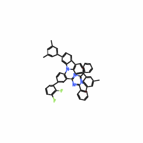 Cc1cc(C)cc(-c2ccc3c4ccc(-c5cc(C)cc(C)c5)cc4n(-c4ccc(-c5cccc(F)c5F)cc4-c4nc(-c5ccccc5)nc(-c5ccccc5)n4)c3c2)c1